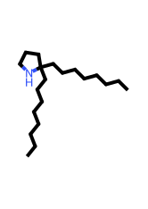 CCCCCCCCC1(CCCCCCCC)CCCN1